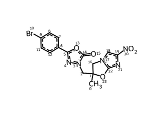 CC1(Cn2nc(-c3ccc(Br)cc3)oc2=O)Cn2cc([N+](=O)[O-])nc2O1